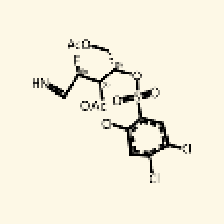 CC(=O)OC[C@H](OS(=O)(=O)c1cc(Cl)c(Cl)cc1Cl)[C@@H](OC(C)=O)[C@H](F)C=N